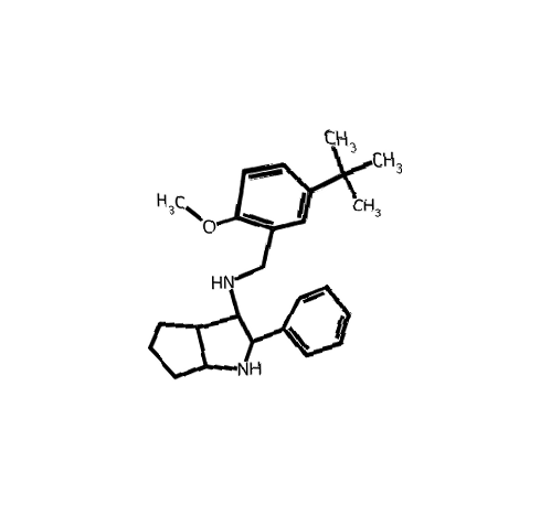 COc1ccc(C(C)(C)C)cc1CNC1C(c2ccccc2)NC2CCCC21